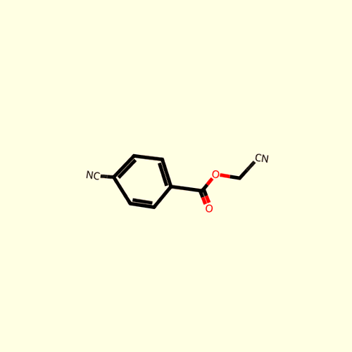 N#CCOC(=O)c1ccc(C#N)cc1